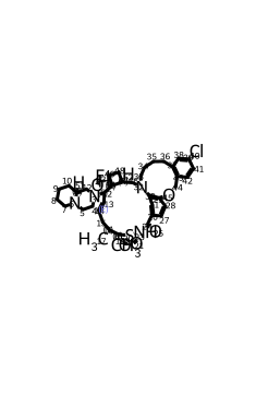 CCO[C@]1(N2CCN3CCCC[C@@H]3C2)/C=C/C[C@H](C)[C@@H](C)S(=O)(=O)NC(=O)c2ccc3c(c2)N(CCCCc2cc(Cl)ccc2CO3)C[C@@H]2CC[C@H]21